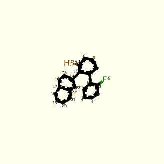 Fc1ccccc1-c1cccc(S)c1-c1ccc2ccccc2c1